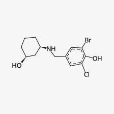 Oc1c(Cl)cc(CN[C@@H]2CCC[C@H](O)C2)cc1Br